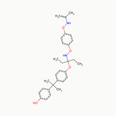 C=C(C)NOc1ccc(ONC(CC)(CC)Oc2ccc(C(C)(C)c3ccc(O)cc3)cc2)cc1